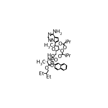 CCC(CC)COC(=O)[C@H](C)NP(=O)(OC[C@H]1O[C@@](C)(c2ccc3c(N)ncnn23)[C@H](OC(=O)C(C)C)[C@@H]1OC(=O)C(C)C)Oc1ccc2ccccc2c1